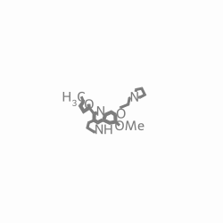 COc1cc2c3c(c(-c4ccc(C)o4)nc2cc1OCCCN1CCCC1)CCCN3